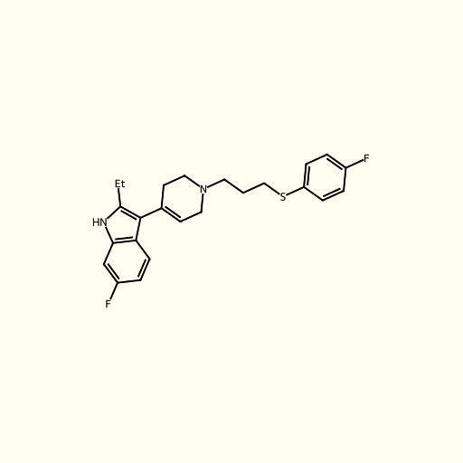 CCc1[nH]c2cc(F)ccc2c1C1=CCN(CCCSc2ccc(F)cc2)CC1